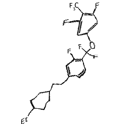 CCC1CCC(CCc2ccc(C(F)(F)Oc3cc(F)c(C(F)(F)F)c(F)c3)c(F)c2)CC1